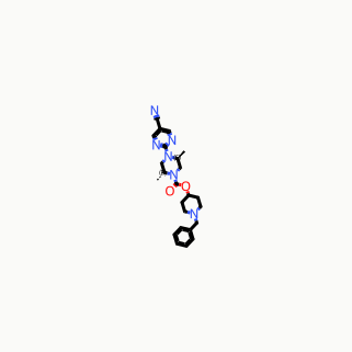 C[C@@H]1CN(c2ncc(C#N)cn2)[C@@H](C)CN1C(=O)OC1CCN(Cc2ccccc2)CC1